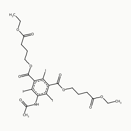 CCOC(=O)CCCOC(=O)c1c(I)c(NC(C)=O)c(I)c(C(=O)OCCCC(=O)OCC)c1I